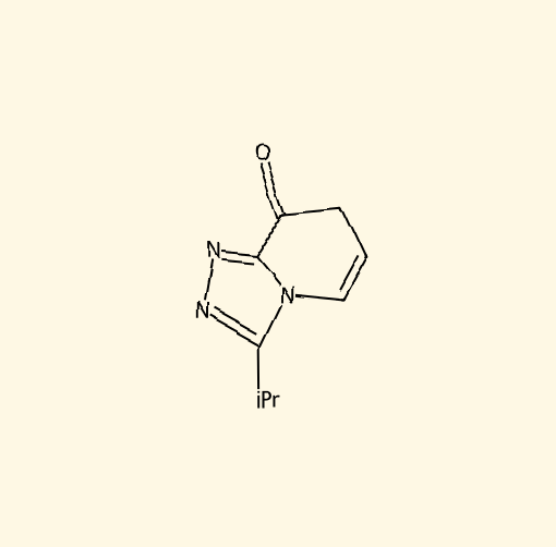 CC(C)c1nnc2n1C=CCC2=O